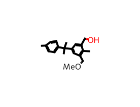 COCc1cc(C(C)(C)c2ccc(C)cc2)cc(CO)c1C